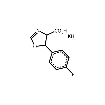 O=C(O)C1N=COC1c1ccc(F)cc1.[KH]